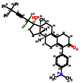 CC(C)[Si](C#CC(F)(F)[C@]1(O)CC[C@H]2[C@@H]3CCC4=C(c5ccc(N(C)C)cc5)C(=O)CCC4=C3CC[C@@]21C)(C(C)C)C(C)C